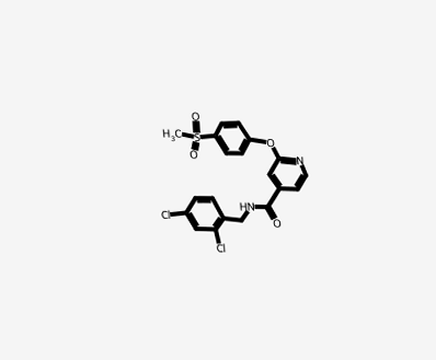 CS(=O)(=O)c1ccc(Oc2cc(C(=O)NCc3ccc(Cl)cc3Cl)ccn2)cc1